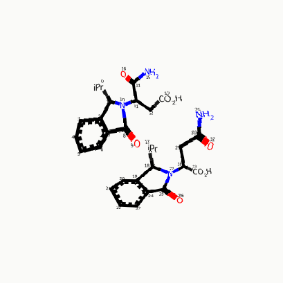 CC(C)C1c2ccccc2C(=O)N1C(CC(=O)O)C(N)=O.CC(C)C1c2ccccc2C(=O)N1C(CC(N)=O)C(=O)O